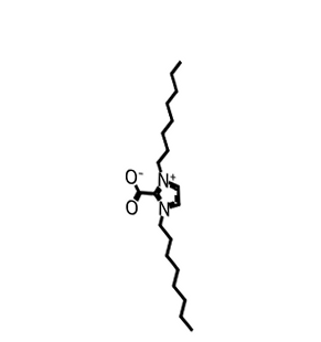 CCCCCCCCn1cc[n+](CCCCCCCC)c1C(=O)[O-]